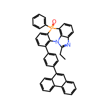 CCc1nc2cccc3c2n1-c1c(-c2ccc(-c4cc5ccccc5c5ccccc45)cc2)cccc1P3(=O)c1ccccc1